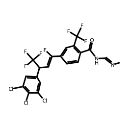 C/N=C/NC(=O)c1ccc(/C(F)=C/C(c2cc(Cl)c(Cl)c(Cl)c2)C(F)(F)F)cc1C(F)(F)F